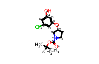 CC(C)(C)OC(=O)N1CC[C@@H](Oc2cc(O)cc(Cl)c2)C1